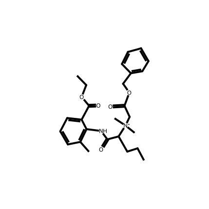 CCCC(C(=O)Nc1c(C)cccc1C(=O)OCC)[N+](C)(C)CC(=O)OCc1ccccc1